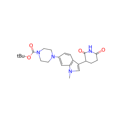 Cn1cc(C2CCC(=O)NC2=O)c2ccc(N3CCN(C(=O)OC(C)(C)C)CC3)cc21